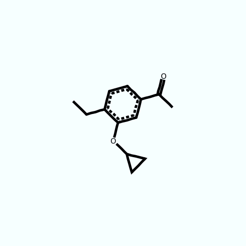 CCc1ccc(C(C)=O)cc1OC1CC1